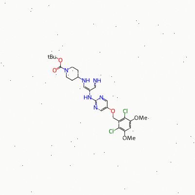 COc1cc(OC)c(Cl)c(COc2cnc(N/C(C=N)=C/NC3CCN(C(=O)OC(C)(C)C)CC3)nc2)c1Cl